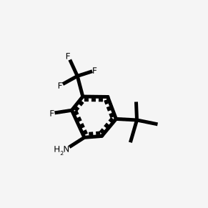 CC(C)(C)c1cc(N)c(F)c(C(F)(F)F)c1